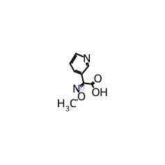 CO/N=C(\C(=O)O)c1cccnc1